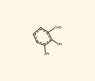 CCCc1cccc(C=O)c1O